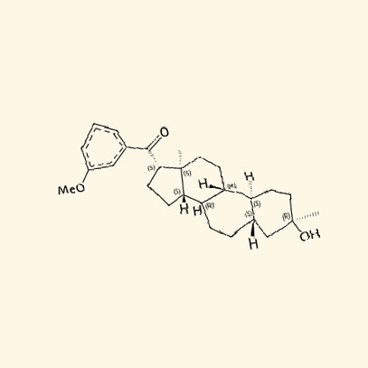 COc1cccc(C(=O)[C@H]2CC[C@H]3[C@@H]4CC[C@H]5C[C@](C)(O)CC[C@@H]5[C@H]4CC[C@]23C)c1